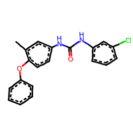 Cc1cc(NC(=O)Nc2cccc(Cl)c2)ccc1Oc1ccccc1